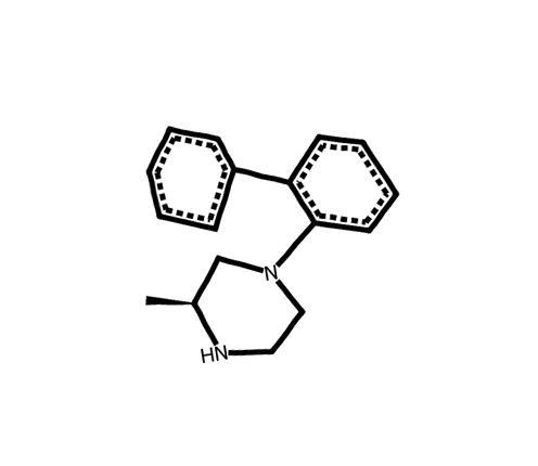 C[C@H]1CN(c2ccccc2-c2ccccc2)CCN1